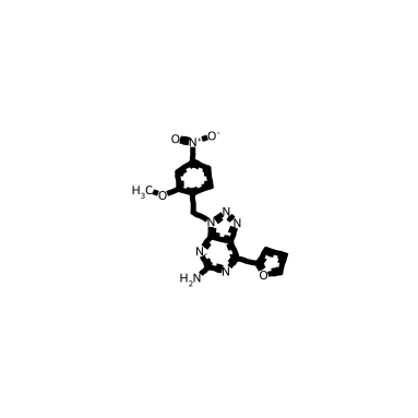 COc1cc([N+](=O)[O-])ccc1Cn1nnc2c(-c3ccco3)nc(N)nc21